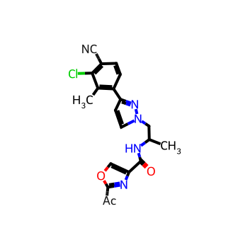 CC(=O)c1nc(C(=O)NC(C)Cn2ccc(-c3ccc(C#N)c(Cl)c3C)n2)co1